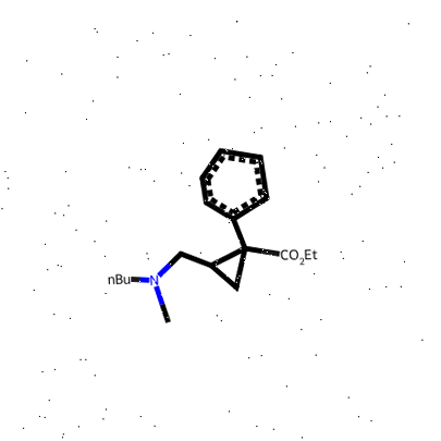 CCCCN(C)CC1CC1(C(=O)OCC)c1ccccc1